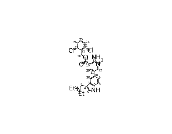 CCN(CC)Cc1c[nH]c2ccc(-c3cnc(N)c(C(=O)OCc4c(Cl)cccc4Cl)c3)cc12